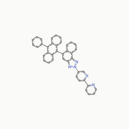 c1ccc(-c2c3ccccc3c(-c3cc4nn(-c5ccc(-c6ccccn6)nc5)nc4c4ccccc34)c3ccccc23)cc1